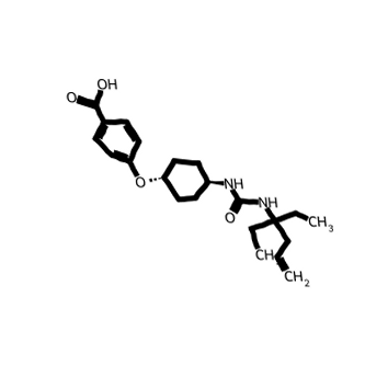 C=CCC(CC)(CC)NC(=O)N[C@H]1CC[C@H](Oc2ccc(C(=O)O)cc2)CC1